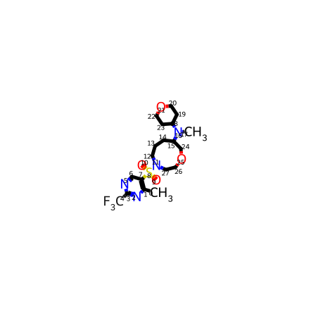 Cc1nc(C(F)(F)F)ncc1S(=O)(=O)N1CCCC(N(C)C2CCOCC2)COCC1